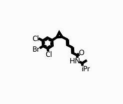 CC(C)C(C)NC(=O)C=CC=CC1CC1c1cc(Cl)c(Br)c(Cl)c1